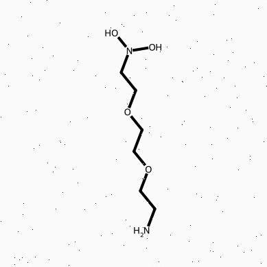 NCCOCCOCCN(O)O